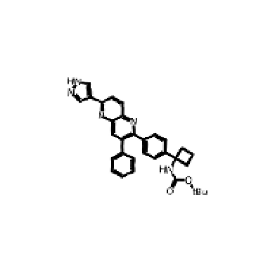 CC(C)(C)OC(=O)NC1(c2ccc(-c3nc4ccc(-c5cn[nH]c5)nc4cc3-c3ccccc3)cc2)CCC1